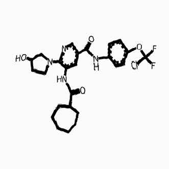 O=C(Nc1ccc(OC(F)(F)Cl)cc1)c1cnc(N2CCC(O)C2)c(NC(=O)C2CCCCCC2)c1